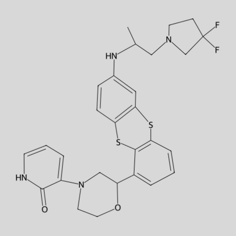 CC(CN1CCC(F)(F)C1)Nc1ccc2c(c1)Sc1cccc(C3CN(c4ccc[nH]c4=O)CCO3)c1S2